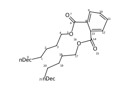 CCCCCCCCCCCCCCOC(=O)c1ccccc1C(=O)OCCCCCCCCCCCCCC